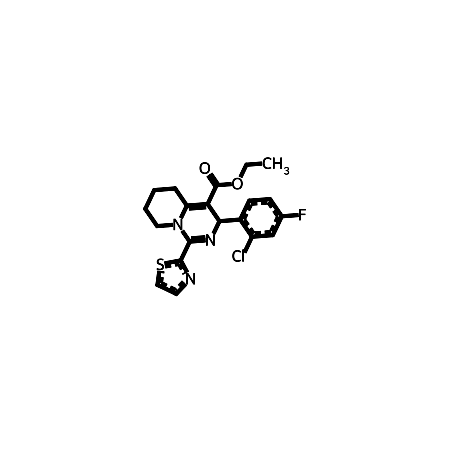 CCOC(=O)C1=C2CCCCN2C(c2nccs2)=NC1c1ccc(F)cc1Cl